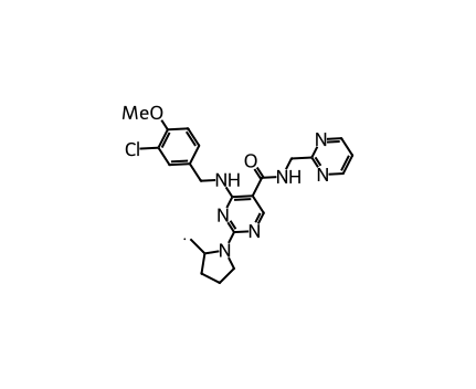 [CH2]C1CCCN1c1ncc(C(=O)NCc2ncccn2)c(NCc2ccc(OC)c(Cl)c2)n1